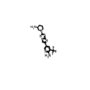 Nc1ncc(-c2cn3nc(N4CCCC(N)C4)sc3n2)cc1C(F)(F)F